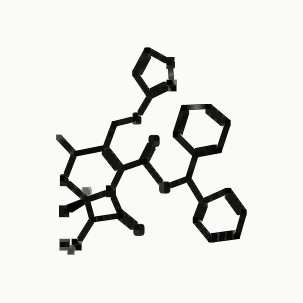 CC1S[C@H]2C(N)C(=O)N2C(C(=O)OC(c2ccccc2)c2ccccc2)=C1CSc1ccsn1